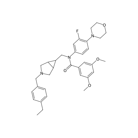 CCc1ccc(CN2CC3C(C2)C3CN(C(=O)c2cc(OC)cc(OC)c2)c2ccc(N3CCOCC3)c(F)c2)cc1